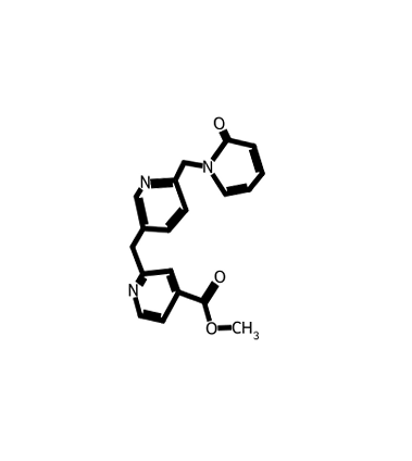 COC(=O)c1ccnc(Cc2ccc(Cn3ccccc3=O)nc2)c1